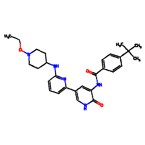 CCON1CCC(Nc2cccc(-c3c[nH]c(=O)c(NC(=O)c4ccc(C(C)(C)C)cc4)c3)n2)CC1